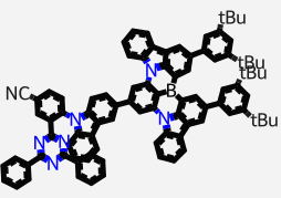 CC(C)(C)c1cc(-c2cc3c4c(c2)c2ccccc2n4-c2cc(-c4ccc5c(c4)c4ccccc4n5-c4ccc(C#N)cc4-c4nc(-c5ccccc5)nc(-c5ccccc5)n4)cc4c2B3c2cc(-c3cc(C(C)(C)C)cc(C(C)(C)C)c3)cc3c5ccccc5n-4c23)cc(C(C)(C)C)c1